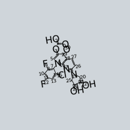 O=C(O)Oc1cn(-c2c(F)cc(F)cc2Cl)c2nc(N3C[C@@H](O)[C@H](O)C3)ccc2c1=O